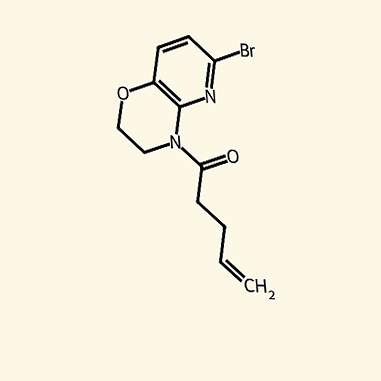 C=CCCC(=O)N1CCOc2ccc(Br)nc21